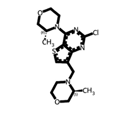 C[C@@H]1COCCN1c1nc(Cl)nc2c(CN3CCOC[C@@H]3C)csc12